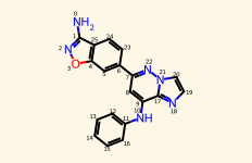 Nc1noc2cc(-c3cc(Nc4ccccc4)c4nccn4n3)ccc12